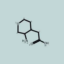 NC1COCCC1CC(=O)O